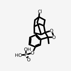 CC1(c2cccc(OP(=O)(O)O)c2)OOC12C1CC3CC2CC(Cl)(C3)C1